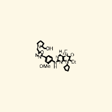 CCC1C(=O)N(C)c2cnc(Nc3ccc(-c4nnc(CN5CCCC5CO)o4)cc3OC)nc2N1C1CCCC1